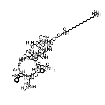 CCCC[C@H](NC(=O)[C@H](CO)NC(=O)[C@H](Cc1c[nH]cn1)NC(=O)[C@@H](CCC(N)=O)NC(=O)[C@H](CO)NC(=O)CNC(=O)COCCOCCNC(=O)CCCCCCCCCCCCCCCc1nnn[nH]1)C(=O)N[C@H]1CCC(=O)NCCCC[C@@H](C(C)=O)NC(=O)[C@H](Cc2c[nH]c3ccccc23)NC(=O)[C@H](CCCNC(=N)N)NC(=O)[C@@H](Cc2ccccc2)NC(=O)[C@H](CCCNC(N)=O)NC1=O